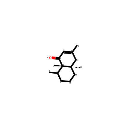 CC1=CC(=O)[C@@]2(C)C(C)CCC[C@]2(C)C1